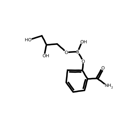 NC(=O)c1ccccc1OB(O)OCC(O)CO